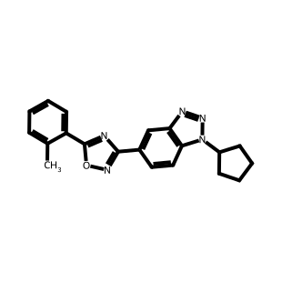 Cc1ccccc1-c1nc(-c2ccc3c(c2)nnn3C2CCCC2)no1